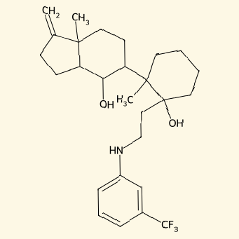 C=C1CCC2C(O)C(C3(C)CCCCC3(O)CCNc3cccc(C(F)(F)F)c3)CCC12C